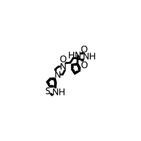 O=C1NC(=O)C(CCC(=O)N2CCN(c3ccc4c(c3)NCS4)CC2)(c2ccccc2)N1